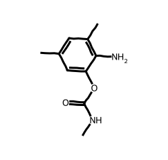 CNC(=O)Oc1cc(C)cc(C)c1N